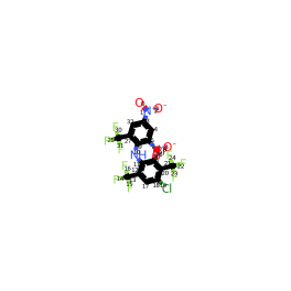 O=[N+]([O-])c1cc([N+](=O)[O-])c(Nc2c(C(F)(F)F)cc(Cl)c(C(F)(F)F)c2Br)c(C(F)(F)F)c1